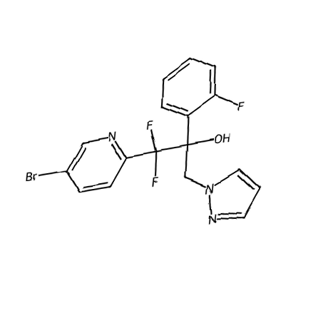 OC(Cn1cccn1)(c1ccccc1F)C(F)(F)c1ccc(Br)cn1